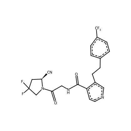 N#C[C@@H]1CC(F)(F)CN1C(=O)CNC(=O)c1ccncc1CCc1ccc(C(F)(F)F)cc1